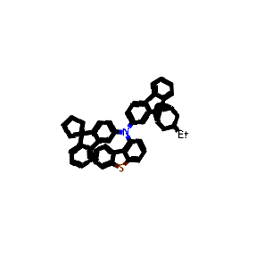 CCC1CC2CCCC(C1)C21c2ccccc2-c2ccc(N(c3ccc4c(c3)-c3ccccc3C43CCCC3)c3cccc4sc5ccccc5c34)cc21